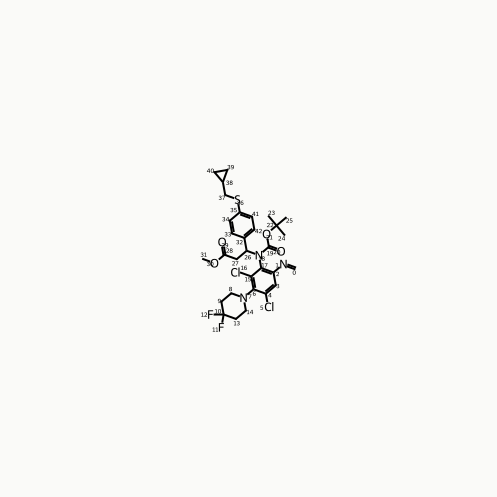 C=Nc1cc(Cl)c(N2CCC(F)(F)CC2)c(Cl)c1N(C(=O)OC(C)(C)C)C(CC(=O)OC)c1ccc(SCC2CC2)cc1